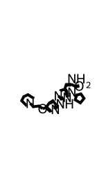 Nc1cc2cnc(Nc3ccc(OCCN4CCCCC4)cn3)nc2n(C2CCCC2)c1=O